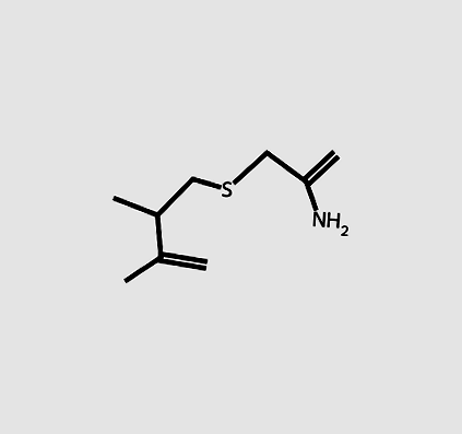 C=C(N)CSCC(C)C(=C)C